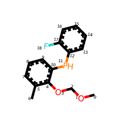 COCOc1c(C)cccc1Pc1ccccc1F